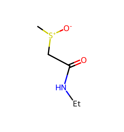 CCNC(=O)C[S+](C)[O-]